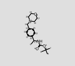 CC(NC(=O)OC(C)(C)C)c1ccc(CN2CCOCC2)cc1